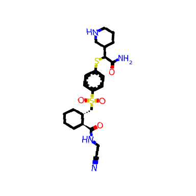 N#CCNC(=O)[C@H]1CCCC[C@@H]1CS(=O)(=O)c1ccc(SC(C(N)=O)C2CCCNC2)cc1